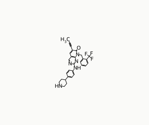 CC#Cc1cc2cnc(Nc3ccc(C4CCNCC4)cc3)nc2n(Cc2ccccc2C(F)(F)F)c1=O